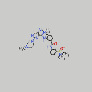 Cc1ccc(C(=O)Nc2cccc([S+]([O-])N(C)C)c2)cc1Nc1ncnc2cnc(N3CCCN(C)CC3)nc12